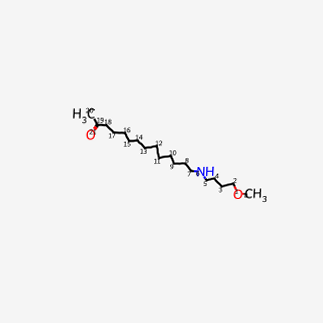 COCCCCNCCCCCCCCCCCCC(C)=O